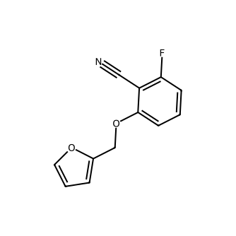 N#Cc1c(F)cccc1OCc1ccco1